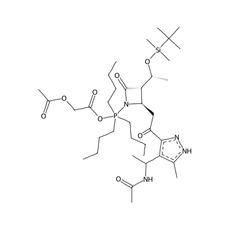 CCCCP(CCCC)(CCCC)(OC(=O)COC(C)=O)N1C(=O)[C@H]([C@@H](C)O[Si](C)(C)C(C)(C)C)[C@H]1CC(=O)c1n[nH]c(C)c1C(C)NC(C)=O